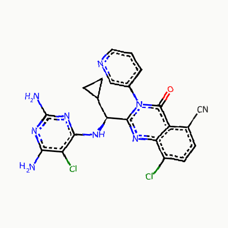 N#Cc1ccc(Cl)c2nc([C@@H](Nc3nc(N)nc(N)c3Cl)C3CC3)n(-c3cccnc3)c(=O)c12